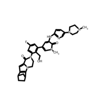 CN1CCN(c2ccc(Nc3cc(-c4cc(F)cc(N5CCn6c(cc7c6C6CCC7C6)C5=O)c4CO)cn(C)c3=O)nc2)CC1